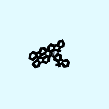 CC1(C)c2ccccc2-c2ccc(N(c3ccc4c(c3)C3(c5ccccc5-c5ccccc53)c3ccccc3-4)c3cccc4c3C(C)(C)c3ccccc3-4)cc21